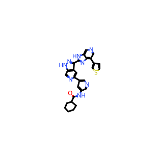 O=C(Nc1cncc(-c2cc3c(-c4nc5c(-c6ccsc6)cncc5[nH]4)n[nH]c3cn2)c1)C1CCCCC1